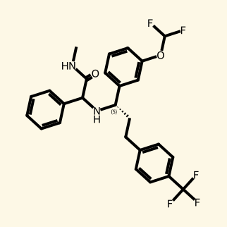 CNC(=O)C(N[C@@H](CCc1ccc(C(F)(F)F)cc1)c1cccc(OC(F)F)c1)c1ccccc1